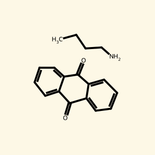 CCCCN.O=C1c2ccccc2C(=O)c2ccccc21